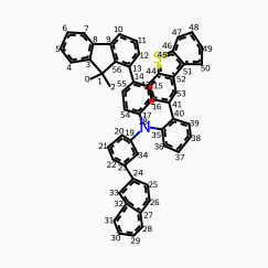 CC1(C)c2ccccc2-c2cccc(-c3ccc(N(c4cccc(-c5ccc6ccccc6c5)c4)c4ccccc4-c4ccc5sc6ccccc6c5c4)cc3)c21